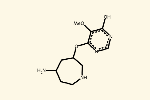 COc1c(O)ncnc1OC1CNCCC(N)C1